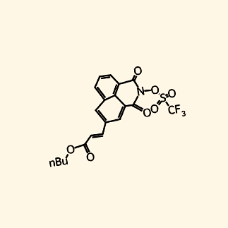 CCCCOC(=O)/C=C/c1cc2c3c(cccc3c1)C(=O)N(OS(=O)(=O)C(F)(F)F)C2=O